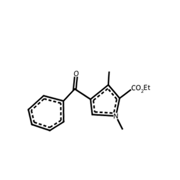 CCOC(=O)c1c(C)c(C(=O)c2ccccc2)cn1C